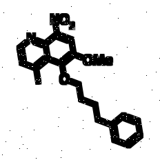 COc1cc([N+](=O)[O-])c2nccc(C)c2c1OCCCCc1ccccc1